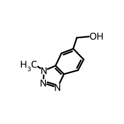 Cn1nnc2ccc(CO)cc21